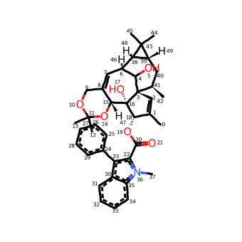 CC1=C[C@]23C(O)[C@@H](C=C4COC(C)(C)O[C@H]4[C@]2(O)[C@H]1OC(=O)c1c(-c2ccccc2)c2ccccc2n1C)[C@H]1[C@@H](C[C@H]3C)C1(C)C